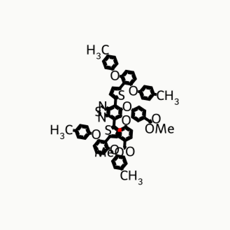 COC(=O)c1ccc(Oc2c(Oc3ccc(C(=O)OC)cc3)c(-c3ccc(-c4c(Oc5ccc(C)cc5)cccc4Oc4ccc(C)cc4)s3)c3nsnc3c2-c2ccc(-c3c(Oc4ccc(C)cc4)cccc3Oc3ccc(C)cc3)s2)cc1